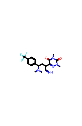 CN(C)C(CC(C=N)c1nn(C)c(=O)n(C)c1=O)c1ccc(C(F)(F)F)cc1